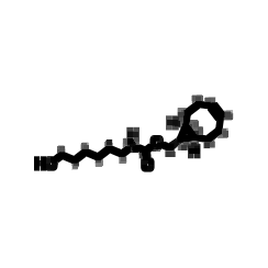 O=C(NCCCCCCO)OC[C@@H]1[C@@H]2CCC#CCC[C@@H]21